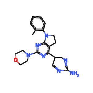 Cc1ccccc1N1CCc2c(C3C=NC(N)=NC3)nc(N3CCOCC3)nc21